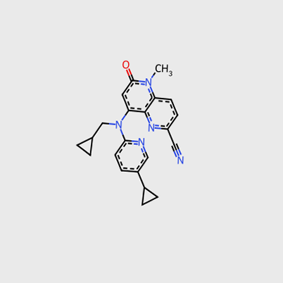 Cn1c(=O)cc(N(CC2CC2)c2ccc(C3CC3)cn2)c2nc(C#N)ccc21